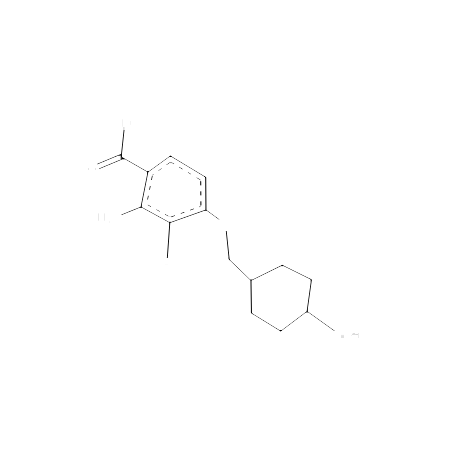 CCCCCC1CCC(COc2ccc(C(=O)CC)c(C)c2F)CC1